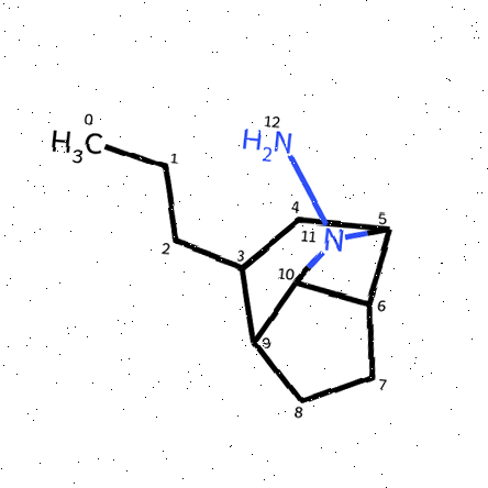 CCCC1CC2C3CCC1C3N2N